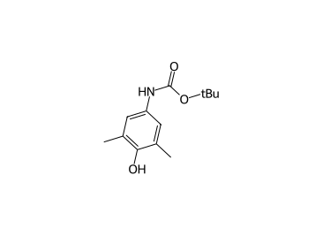 Cc1cc(NC(=O)OC(C)(C)C)cc(C)c1O